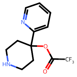 O=C(OC1(c2ccccn2)CCNCC1)C(F)(F)F